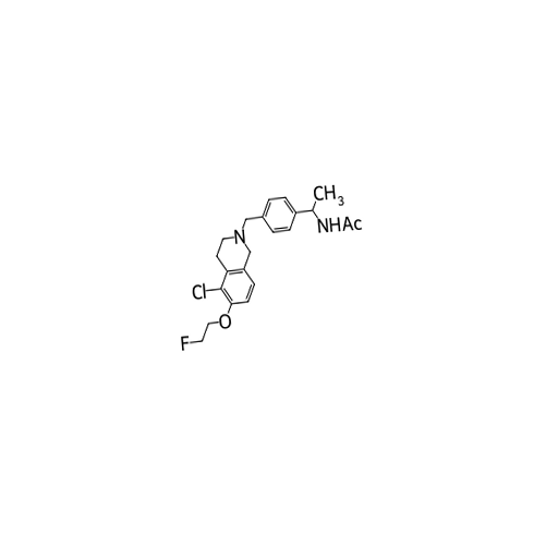 CC(=O)NC(C)c1ccc(CN2CCc3c(ccc(OCCF)c3Cl)C2)cc1